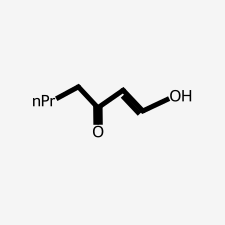 CCCCC(=O)/C=C/O